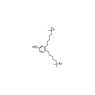 CCC(C)(C)CCCCCc1ccc(O)cc1CCCCCC1(C)CC1